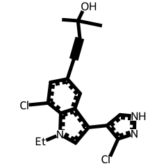 CCn1cc(-c2c[nH]nc2Cl)c2cc(C#CC(C)(C)O)cc(Cl)c21